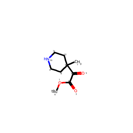 CC(C)(C)OC(=O)C(=O)C1(C)CCNCC1